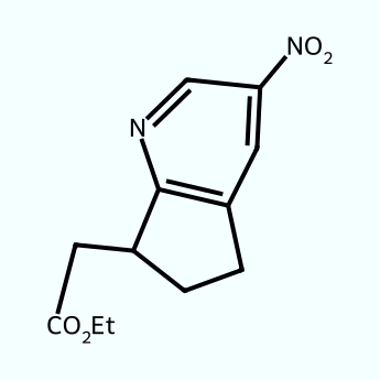 CCOC(=O)CC1CCc2cc([N+](=O)[O-])cnc21